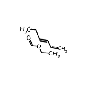 C=CC=CCC.CCOC=O